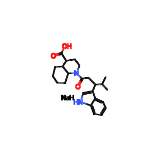 CC(C)C(CC(=O)N1CCC(C(=O)O)C2CCCCC21)c1c[nH]c2ccccc12.[NaH]